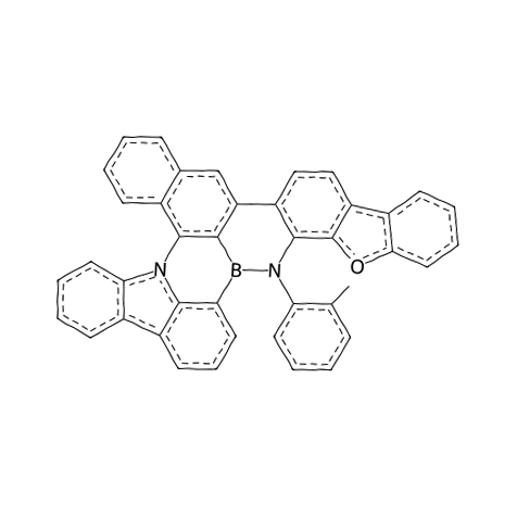 Cc1ccccc1N1B2c3c(cc4ccccc4c3-n3c4ccccc4c4cccc2c43)-c2ccc3c(oc4ccccc43)c21